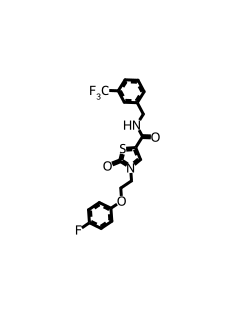 O=C(NCc1cccc(C(F)(F)F)c1)c1cn(CCOc2ccc(F)cc2)c(=O)s1